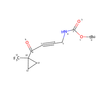 CC(C)(C)OC(=O)NCC#CC(=O)C1(C(F)(F)F)CC1